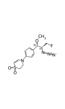 CO[C@H](c1ccc(N2C=CS(=O)(=O)CC2)cc1)[C@@H](CF)N=[N+]=[N-]